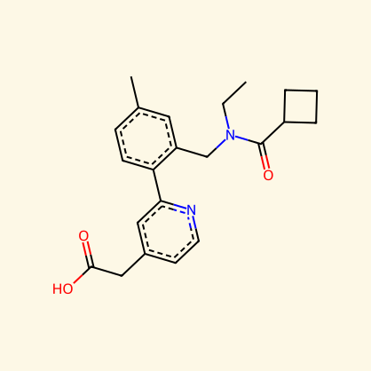 CCN(Cc1cc(C)ccc1-c1cc(CC(=O)O)ccn1)C(=O)C1CCC1